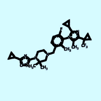 Cc1c(CN2CCN(c3noc(C4CC4)n3)C(C)(C)C2)ccc(F)c1-n1c(C2CC2)nc(C2(C(F)(F)F)CC2)c1C